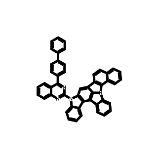 c1ccc(-c2ccc(-c3nc(-n4c5ccccc5c5c6c7ccccc7n7c8c9ccccc9ccc8c(cc54)c67)nc4ccccc34)cc2)cc1